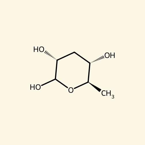 C[C@H]1OC(O)[C@H](O)C[C@@H]1O